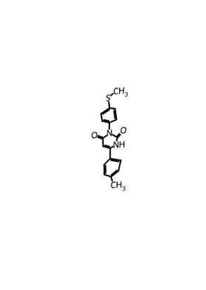 CSc1ccc(-n2c(=O)cc(-c3ccc(C)cc3)[nH]c2=O)cc1